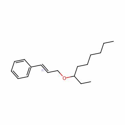 CCCCCCC(CC)OC/C=C/c1ccccc1